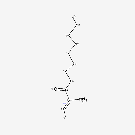 C/C=C(\N)C(=O)CCCCCCCC